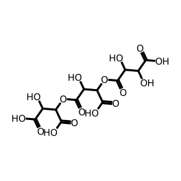 O=C(O)C(O)C(O)C(=O)OC(C(=O)O)C(O)C(=O)OC(C(=O)O)C(O)C(=O)O